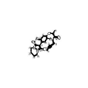 CC#CCN1C(=O)C(C)Oc2cc(F)c(-c3c(Cl)n4n(c3=O)CCCC4)cc21